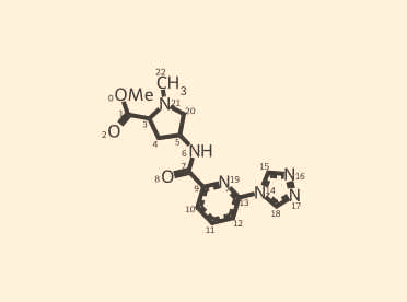 COC(=O)C1CC(NC(=O)c2cccc(-n3cnnc3)n2)CN1C